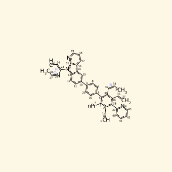 C#Cc1c(CCC)c(-c2ccc(-c3ccc4c(c3)c3cccnc3n4C(=C/C)/N=C\C)cc2)c(/C=C\C)c(C=C)c1-c1ccccn1